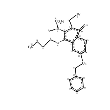 CC(C)Cn1c(N(C)C(=O)O)c(OCCCC(F)(F)F)c2cc(OCc3ccccc3)ccc2c1=O